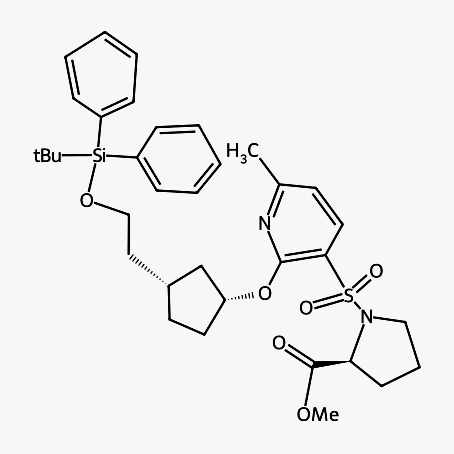 COC(=O)[C@@H]1CCCN1S(=O)(=O)c1ccc(C)nc1O[C@@H]1CC[C@H](CCO[Si](c2ccccc2)(c2ccccc2)C(C)(C)C)C1